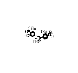 CCN(CC)c1ccc(C(COc2ccc(C(=O)OCC(C)C)c(O)c2)=NO)cc1C(C)(C)C